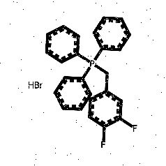 Br.Fc1ccc(C[P](c2ccccc2)(c2ccccc2)c2ccccc2)cc1F